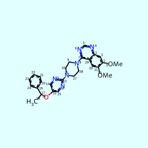 COc1cc2ncnc(N3CCN(c4ncc(OC(C)c5ccccc5)cn4)CC3)c2cc1OC